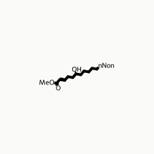 CCCCCCCCCCCCCC[C@H](O)CCC=CC(=O)OC